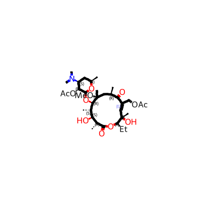 CC[C@H]1OC(=O)[C@H](C)[C@@H](O)[C@H](C)[C@@H](OC2O[C@H](C)C[C@H](N(C)C)[C@H]2OC(C)=O)[C@@](C)(OC)C[C@@H](C)C(=O)/C(COC(C)=O)=C/[C@]1(C)O